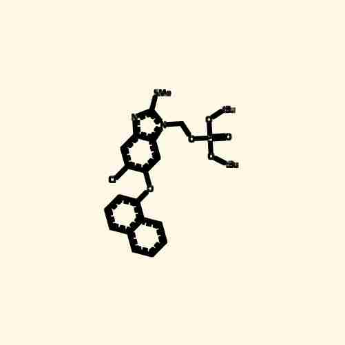 CSc1nc2cc(Cl)c(Oc3cccc4ccccc34)cc2n1COP(=O)(OC(C)(C)C)OC(C)(C)C